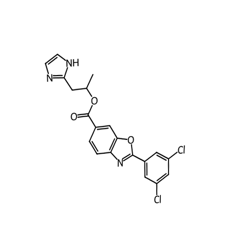 CC(Cc1ncc[nH]1)OC(=O)c1ccc2nc(-c3cc(Cl)cc(Cl)c3)oc2c1